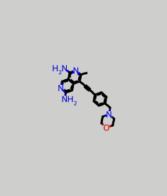 Cc1nc(N)c2cnc(N)cc2c1C#Cc1ccc(CN2CCOCC2)cc1